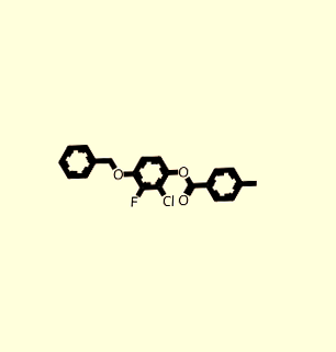 Cc1ccc(C(=O)Oc2ccc(OCc3ccccc3)c(F)c2Cl)cc1